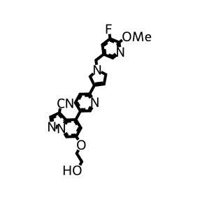 COc1ncc(CN2CC=C(c3ccc(-c4cc(OCCO)cn5ncc(C#N)c45)cn3)C2)cc1F